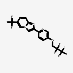 FC(F)(F)c1ccc2nc(-c3ccc(OCC(F)(F)C(F)(F)F)cn3)cn2c1